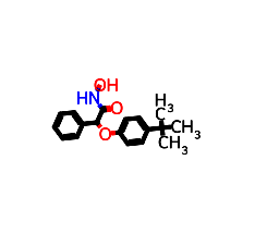 CC(C)(C)c1ccc(OC(C(=O)NO)c2ccccc2)cc1